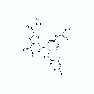 C=CC(=O)Nc1ccc(Nc2c(C)cc(F)cc2C)c(-c2cn(C)c(=O)c3sc(C(=O)NCC)nc23)c1